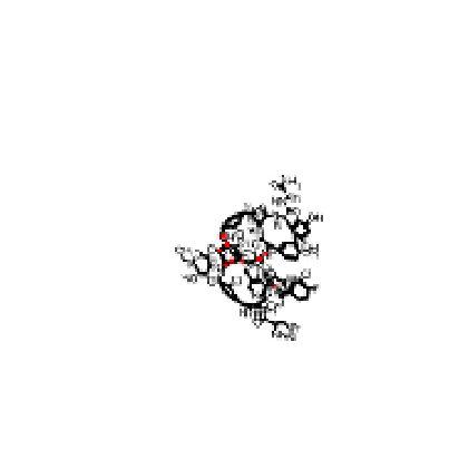 CN[C@H](CC(C)C)C(=O)N[C@H]1C(=O)N[C@@H](CC(N)=O)C(=O)N[C@H]2C(=O)N[C@H]3C(=O)N[C@H](C(=O)N[C@@H](C(=O)NNC(N)=O)c4cc(O)cc(O)c4-c4cc3ccc4O)[C@H](O)c3ccc(c(Cl)c3)Oc3cc2cc(c3O[C@@H]2O[C@H](CO)[C@@H](O)[C@H](O)[C@H]2O[C@H]2C[C@](C)(NCc3cncc(NC(=O)c4ccc(F)c(Cl)c4)c3)[C@H](O)[C@H](C)O2)Oc2ccc(cc2Cl)[C@H]1O